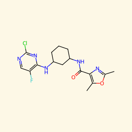 Cc1nc(C(=O)NC2CCCC(Nc3nc(Cl)ncc3F)C2)c(C)o1